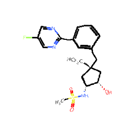 CS(=O)(=O)N[C@@H]1C[C@@](Cc2cccc(-c3ncc(F)cn3)c2)(C(=O)O)C[C@@H]1O